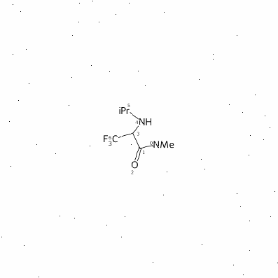 CNC(=O)C(NC(C)C)C(F)(F)F